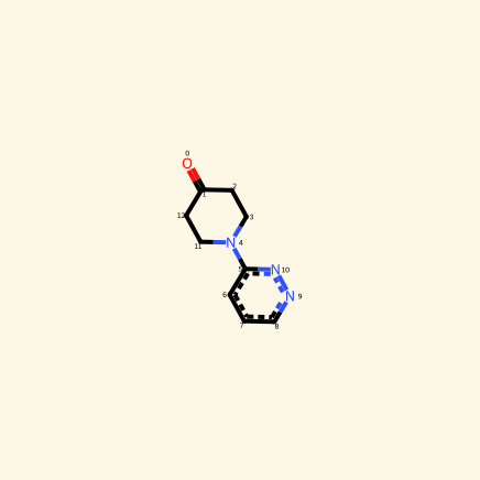 O=C1CCN(c2cccnn2)CC1